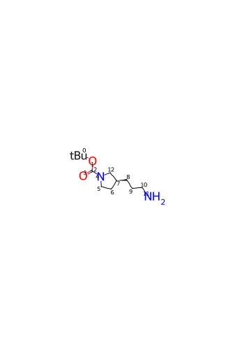 CC(C)(C)OC(=O)N1CC[C@H](CCCN)C1